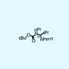 CCCCC[C@H](C(C)C)N(CCC)C(=O)OC(C)(C)C